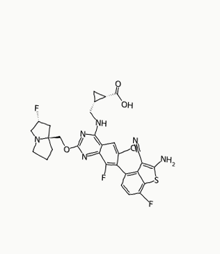 N#Cc1c(N)sc2c(F)ccc(-c3c(Cl)cc4c(NC[C@@H]5C[C@@H]5C(=O)O)nc(OC[C@@]56CCCN5C[C@H](F)C6)nc4c3F)c12